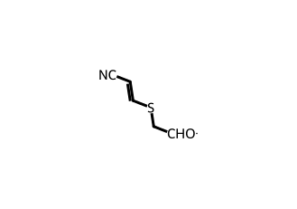 N#C/C=C/SC[C]=O